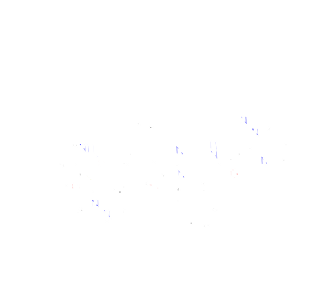 Cc1nn2cccnc2c1C(=O)N[C@H](C)c1nc2cccc(C#Cc3cnn(C)c3S(=O)(=O)C(C)N)c2c(=O)n1-c1ccccc1